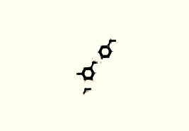 CC(=O)c1ccc(NC(=O)c2cc(Cl)c(OC(C)C)c(Cl)c2)cc1